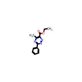 CCOC(=O)c1nnc(-c2ccccc2)nc1C